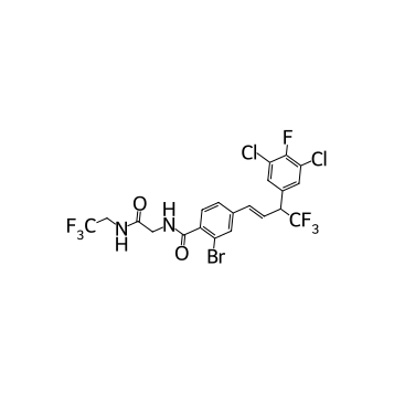 O=C(CNC(=O)c1ccc(C=CC(c2cc(Cl)c(F)c(Cl)c2)C(F)(F)F)cc1Br)NCC(F)(F)F